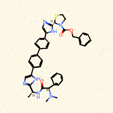 C[C@H](NC(=O)[C@@H](c1ccccc1)N(C)C)c1ncc(-c2ccc(-c3ccc(-c4cnc([C@@H]5SCCN5C(=O)OCc5ccccc5)[nH]4)cc3)cc2)[nH]1